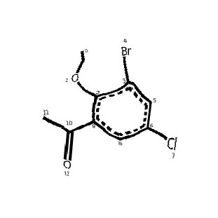 COc1c(Br)cc(Cl)cc1C(C)=O